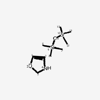 C1=COCN1.C[Si](C)(C)O[Si](C)(C)C